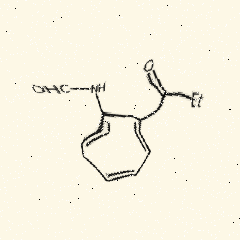 CCC(=O)c1ccccc1NC=O